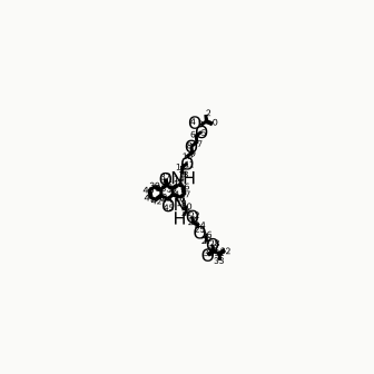 C=C(C)C(=O)OCCOCCOCCNc1ccc(NCCOCCOCCOC(=O)C(=C)C)c2c1C(=O)c1ccccc1C2=O